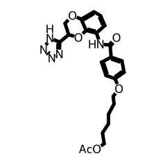 CC(=O)OCCCCCCOc1ccc(C(=O)Nc2cccc3c2OC(c2nnn[nH]2)CO3)cc1